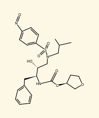 CC(C)CN(C[C@@H](O)[C@H](Cc1ccccc1)NC(=O)O[C@H]1CCOC1)S(=O)(=O)c1ccc(N=O)cc1